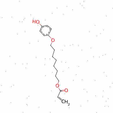 C=CC(=O)OCCCCCCCCOc1ccc(O)cc1